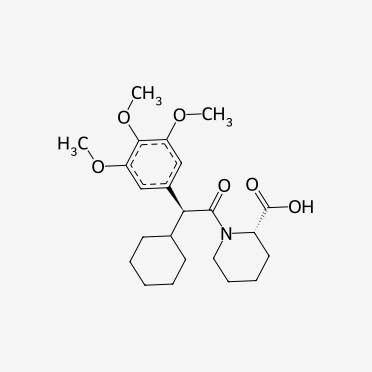 COc1cc([C@@H](C(=O)N2CCCC[C@H]2C(=O)O)C2CCCCC2)cc(OC)c1OC